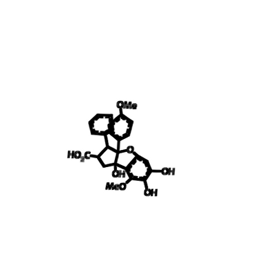 COc1ccc(C23Oc4cc(O)c(O)c(OC)c4C2(O)CC(C(=O)O)C3c2ccccc2)cc1